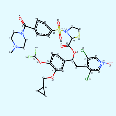 CN1CCN(C(=O)c2ccc(S(=O)(=O)N3CCSC3C(=O)O[C@@H](Cc3c(Cl)c[n+]([O-])cc3Cl)c3ccc(OC(F)F)c(OCC4CC4)c3)cc2)CC1